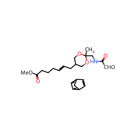 C1=CC2=CC=C1C2.COC(=O)CCCC=CCC1COC(C)(CNC(=O)C=O)OC1